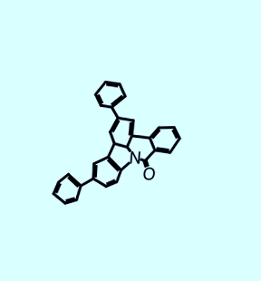 O=C1c2ccccc2C2=CC(c3ccccc3)=CC3c4cc(-c5ccccc5)ccc4N1C23